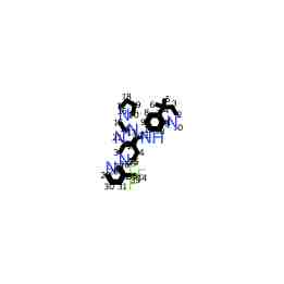 CN1CCC(C)(C)c2ccc(Nc3nc(CN4CCCC4)nc4c3CCN(c3ncccc3C(F)(F)F)C4)cc21